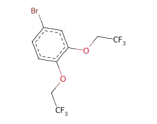 FC(F)(F)COc1ccc(Br)cc1OCC(F)(F)F